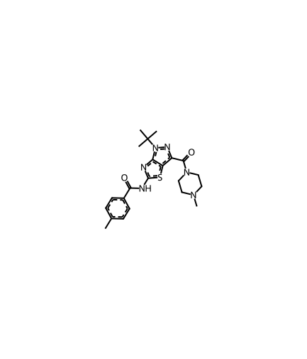 Cc1ccc(C(=O)Nc2nc3c(s2)c(C(=O)N2CCN(C)CC2)nn3C(C)(C)C)cc1